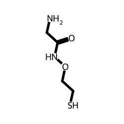 NCC(=O)NOCCS